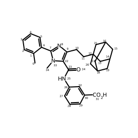 Cc1ccccc1-c1nc(CCC23CC4CC(CC(C4)C2)C3)c(C(=O)Nc2cccc(C(=O)O)c2)n1C